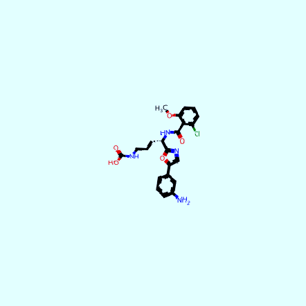 COc1cccc(Cl)c1C(=O)N[C@@H](CCCNC(=O)O)c1ncc(-c2cccc(N)c2)o1